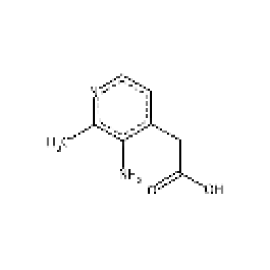 Cc1nccc(CC(=O)O)c1N